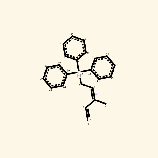 C/C(C=O)=C/C[PH](c1ccccc1)(c1ccccc1)c1ccccc1